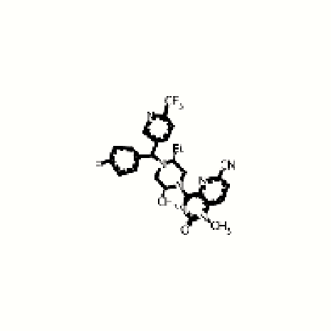 CC[C@@H]1CN(c2nc(=O)n(C)c3ccc(C#N)nc23)[C@@H](C)CN1C(c1ccc(F)cc1)c1ccc(C(F)(F)F)nc1